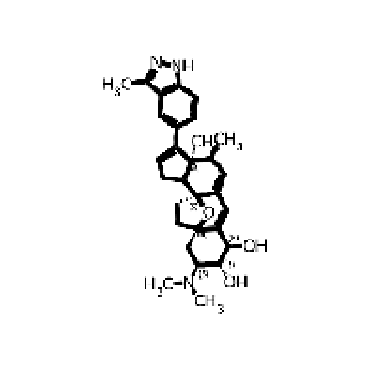 Cc1n[nH]c2ccc(C3=CCC4[C@]3(C)C(C)C=C3C=C5[C@@H](O)[C@H](O)[C@@H](N(C)C)C[C@]56CC[C@@]34O6)cc12